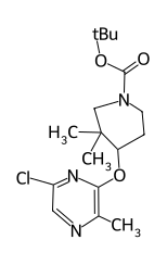 Cc1ncc(Cl)nc1OC1CCN(C(=O)OC(C)(C)C)CC1(C)C